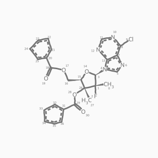 C[C@]1(F)[C@H](n2cnc3c(Cl)ncnc32)O[C@H](COC(=O)c2ccccc2)[C@@]1(C)OC(=O)c1ccccc1